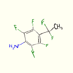 CC(F)(F)c1c(F)c(F)c(N)c(F)c1F